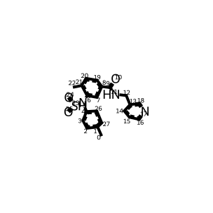 Cc1ccc(N(c2cc(C(=O)NCc3cccnc3)ccc2C)[SH](=O)=O)cc1